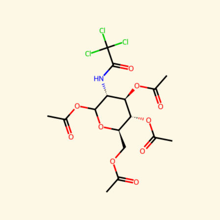 CC(=O)OC[C@H]1OC(OC(C)=O)[C@H](NC(=O)C(Cl)(Cl)Cl)[C@@H](OC(C)=O)[C@@H]1OC(C)=O